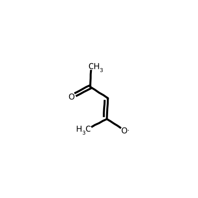 CC(=O)/C=C(\C)[O]